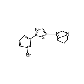 Brc1cccc(-c2ncc(N3CCN4CCC3CC4)s2)c1